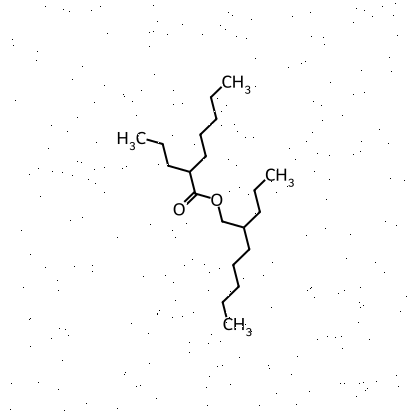 CCCCCC(CCC)COC(=O)C(CCC)CCCCC